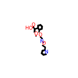 CO/C=C(/C(=O)O)c1ccccc1COC/C=N/OCCc1ccccn1